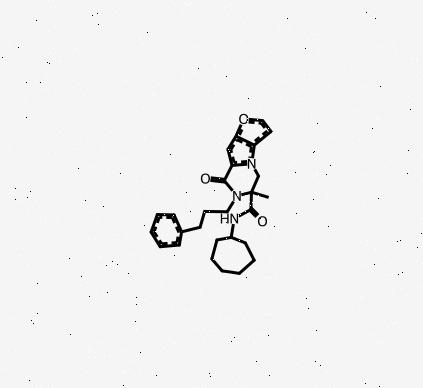 CC1(C(=O)NC2CCCCCC2)Cn2c(cc3occc32)C(=O)N1CCCc1ccccc1